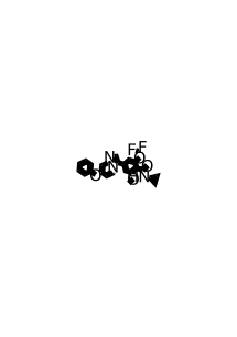 COc1cc(-c2cnc3cc(Oc4ccccc4)ccn23)cc(OC(F)F)c1C(=O)NC1CC1